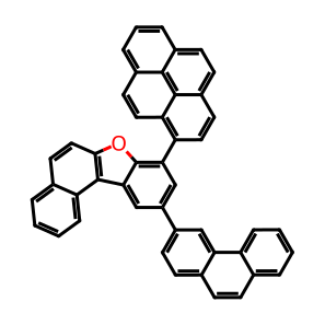 c1ccc2c(c1)ccc1ccc(-c3cc(-c4ccc5ccc6cccc7ccc4c5c67)c4oc5ccc6ccccc6c5c4c3)cc12